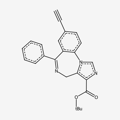 C#Cc1ccc2c(c1)C(c1ccccc1)=NCc1c(C(=O)OC(C)(C)C)ncn1-2